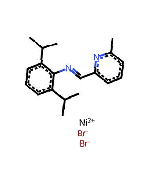 Cc1cccc(C=Nc2c(C(C)C)cccc2C(C)C)n1.[Br-].[Br-].[Ni+2]